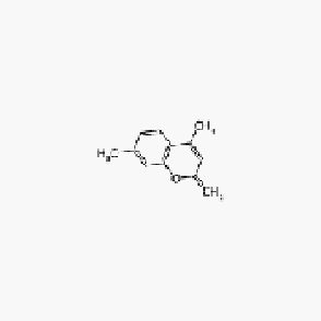 C=C1C=C(C)c2ccc(C)cc2O1